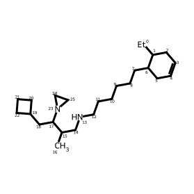 CCC1CC=CCC1CCCCCCNCC(C)C(CC1CCC1)N1CC1